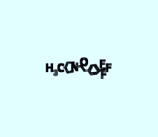 CC1CCN(C(=O)Cc2ccc(C(F)(F)F)cc2)CC1